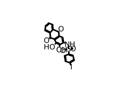 O=C1c2ccccc2C(=O)c2c1cc(NS(=O)(=O)c1ccc(I)cc1)c(O)c2O